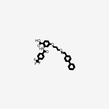 O=C(Nc1cc(OCCCON=Cc2ccc(-c3ccccc3)cc2)ccc1C(=O)O)c1ccc(C(F)(F)F)cc1